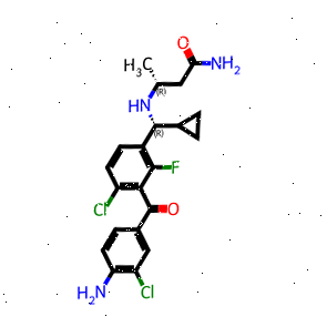 C[C@H](CC(N)=O)N[C@@H](c1ccc(Cl)c(C(=O)c2ccc(N)c(Cl)c2)c1F)C1CC1